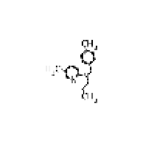 CCCN(Cc1ccc(C)cc1)c1ccc(C)cn1